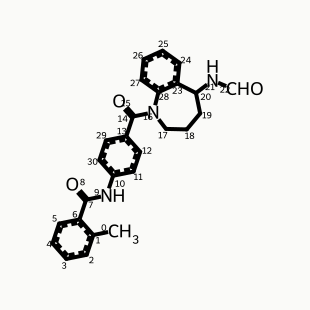 Cc1ccccc1C(=O)Nc1ccc(C(=O)N2CCCC(NC=O)c3ccccc32)cc1